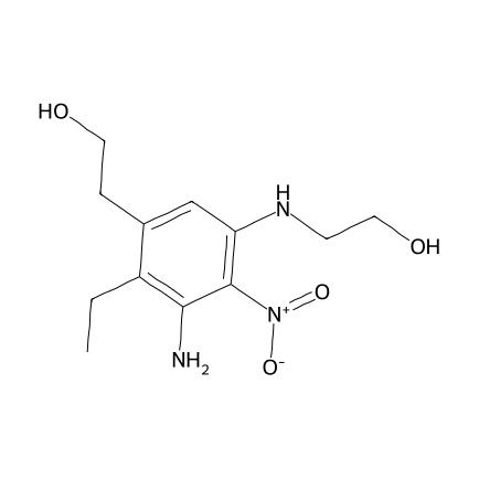 CCc1c(CCO)cc(NCCO)c([N+](=O)[O-])c1N